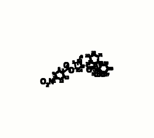 CN1C[C@@H](OC(=O)c2ccc([N+](=O)[O-])cc2)C[C@H]1CO[Si](c1ccccc1)(c1ccccc1)C(C)(C)C